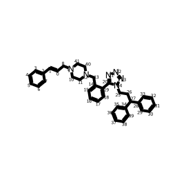 C(=Cc1ccccc1)CN1CCN(Cc2ccccc2-c2nnnn2CCC(c2ccccc2)c2ccccc2)CC1